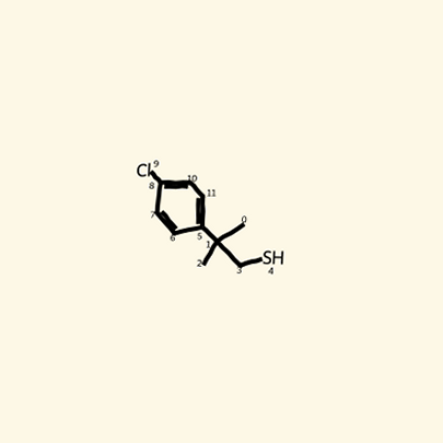 CC(C)(CS)c1ccc(Cl)cc1